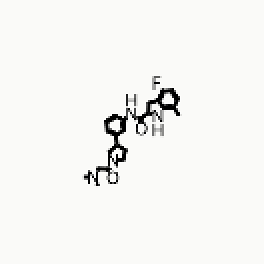 Cc1ccc(F)c2c1NC(C(=O)Nc1cccc(C3CCN(C(=O)CN(C)C)C3)c1)C2